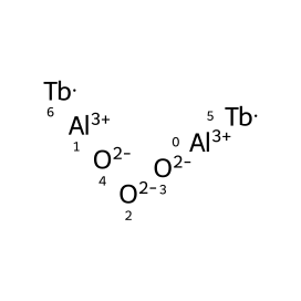 [Al+3].[Al+3].[O-2].[O-2].[O-2].[Tb].[Tb]